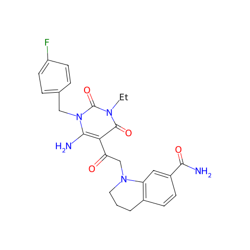 CCn1c(=O)c(C(=O)CN2CCCc3ccc(C(N)=O)cc32)c(N)n(Cc2ccc(F)cc2)c1=O